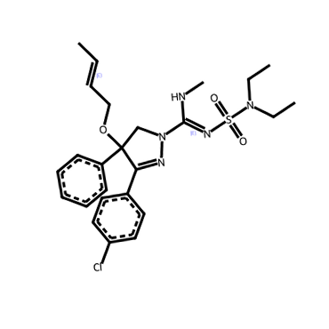 C/C=C/COC1(c2ccccc2)CN(/C(=N/S(=O)(=O)N(CC)CC)NC)N=C1c1ccc(Cl)cc1